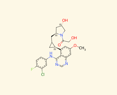 COc1cc([C@H]2CC2C[C@H]2C[C@H](O)CN2C(=O)CO)c2c(Nc3ccc(F)c(Cl)c3)ncnc2c1